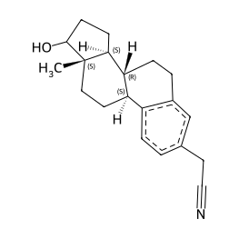 C[C@]12CC[C@@H]3c4ccc(CC#N)cc4CC[C@H]3[C@@H]1CCC2O